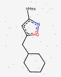 CCCCCCc1cc(CC2CCCCC2)on1